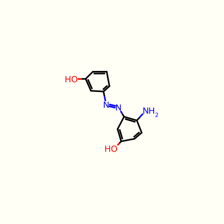 Nc1ccc(O)cc1N=Nc1cccc(O)c1